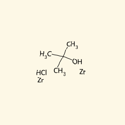 CC(C)(C)O.Cl.[Zr].[Zr]